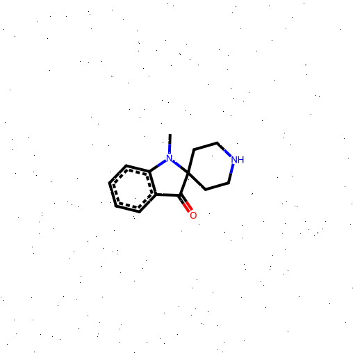 CN1c2ccccc2C(=O)C12CCNCC2